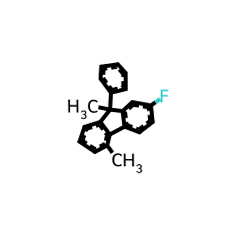 Cc1cccc2c1-c1ccc(F)cc1C2(C)c1ccccc1